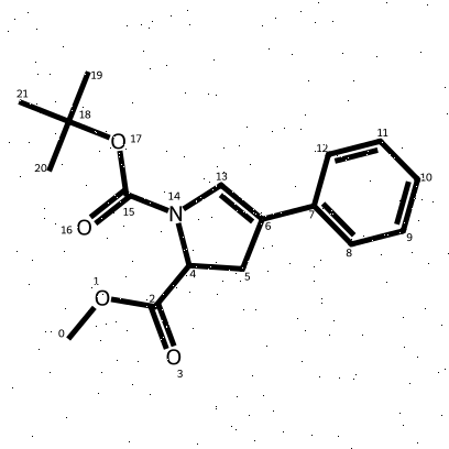 COC(=O)C1CC(c2ccccc2)=CN1C(=O)OC(C)(C)C